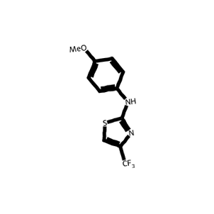 COc1ccc(Nc2nc(C(F)(F)F)cs2)cc1